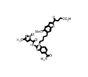 CCn1nc(C)cc1C(=O)Nc1nc2cc(C(N)=O)ccc2n1CCCCc1cc2sc(C(=O)CCC(=O)O)cc2cc1OC